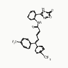 O=C(C=CC=C(c1ccc(C(F)(F)F)cc1)c1ccc(C(F)(F)F)cc1)Nc1ccccc1-c1noc(=O)[nH]1